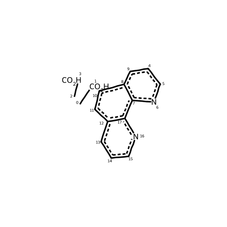 CC(=O)O.CC(=O)O.c1cnc2c(c1)ccc1cccnc12